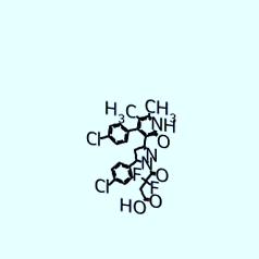 Cc1[nH]c(=O)c(C2=NN(C(=O)C(F)(F)CC(=O)O)C(c3ccc(Cl)cc3)C2)c(-c2ccc(Cl)cc2)c1C